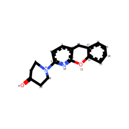 O=C1CCN(c2ccc3c(n2)Oc2ccccc2C3)CC1